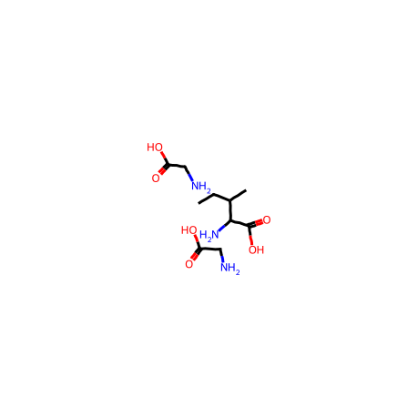 CCC(C)C(N)C(=O)O.NCC(=O)O.NCC(=O)O